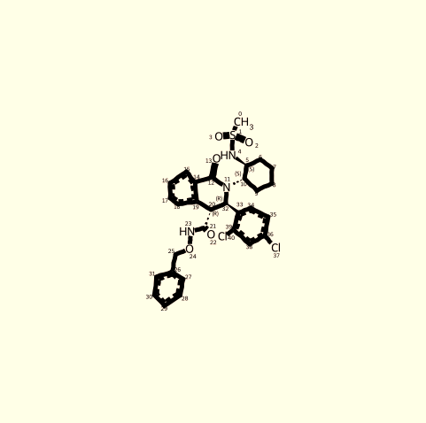 CS(=O)(=O)N[C@H]1CCCC[C@@H]1N1C(=O)c2ccccc2[C@@H](C(=O)NOCc2ccccc2)[C@@H]1c1ccc(Cl)cc1Cl